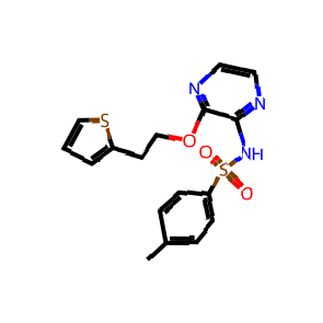 Cc1ccc(S(=O)(=O)Nc2nccnc2OCCc2cccs2)cc1